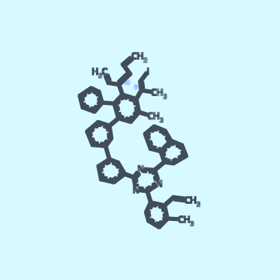 C=C/C=C(\C=C)c1c(/C(C)=C/I)c(C)cc(-c2cccc(-c3cccc(-c4nc(-c5cccc(C)c5C=C)nc(-c5cccc6ccccc56)n4)c3)c2)c1-c1ccccc1